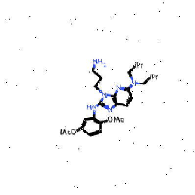 COc1ccc(OC)c(Nc2nc3ccc(N(CC(C)C)CC(C)C)nc3n2CCCN)c1